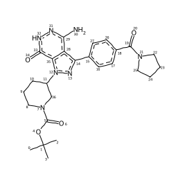 CC(C)(C)OC(=O)N1CCCC(n2nc(-c3ccc(C(=O)N4CCCC4)cc3)c3c(N)n[nH]c(=O)c32)C1